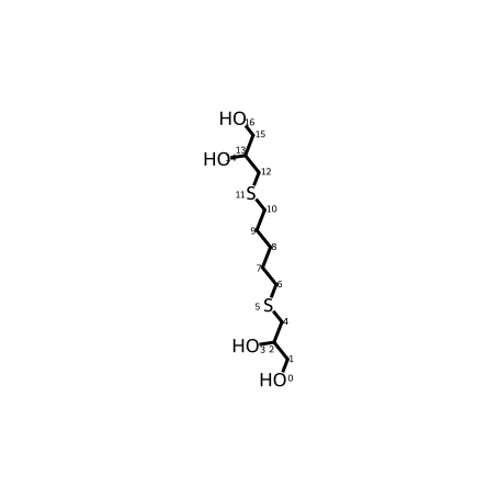 OCC(O)CSCCCCCSCC(O)CO